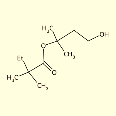 CCC(C)(C)C(=O)OC(C)(C)CCO